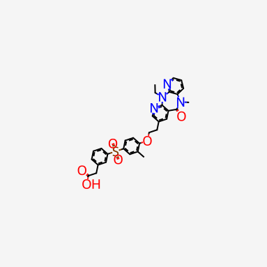 CCN1c2ncc(CCOc3ccc(S(=O)(=O)c4cccc(CC(=O)O)c4)cc3C)cc2C(=O)N(C)c2cccnc21